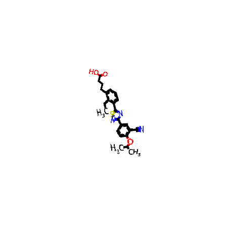 CCc1c(CCCC(=O)O)cccc1-c1nc(-c2ccc(OC(C)C)c(C#N)c2)ns1